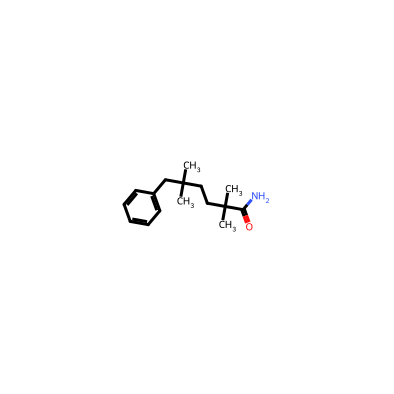 CC(C)(CCC(C)(C)C(N)=O)Cc1ccccc1